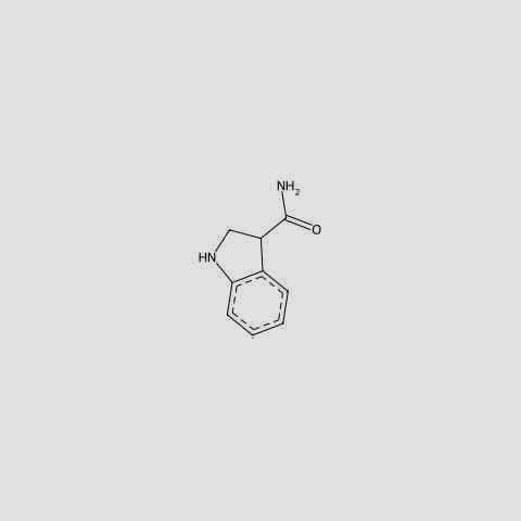 NC(=O)C1CNc2c[c]ccc21